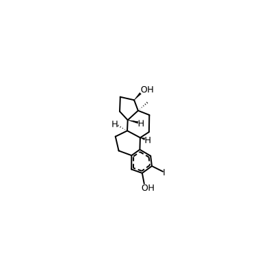 C[C@]12CC[C@@H]3c4cc(I)c(O)cc4CC[C@H]3[C@@H]1CC[C@H]2O